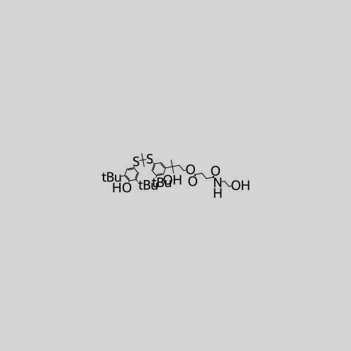 CC(C)(Sc1cc(C(C)(C)C)c(O)c(C(C)(C)C)c1)Sc1cc(C(C)(C)C)c(O)c(C(C)(C)CCOC(=O)CCC(=O)NCCO)c1